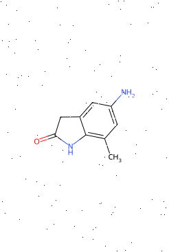 Cc1cc(N)cc2c1NC(=O)C2